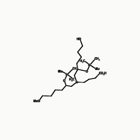 COCCCCC(CN(CCCC(=O)O)CC(CCCCO)O[Si](C)(C)C(C)(C)C)O[Si](C)(C)C(C)(C)C